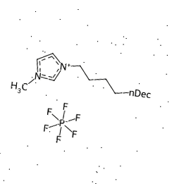 CCCCCCCCCCCCCC[n+]1ccn(C)c1.F[P-](F)(F)(F)(F)F